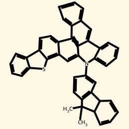 CC1(C)c2ccc(N(c3ccc4ccc5c6ccccc6sc5c4c3)c3ccccc3-c3ccc4ccccc4c3)cc2C2C=CC=CC21